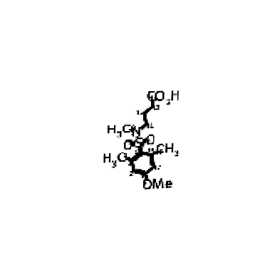 COc1cc(C)c(S(=O)(=O)N(C)CCCC(=O)O)c(C)c1